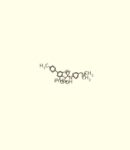 Cc1ccc(-c2cc(C(C)C)c(C(C(=O)Nc3ccc(CN(C)C)cc3)[SH](=O)=O)c(C(C)C)c2)cc1